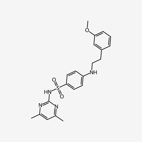 COc1cccc(CCNc2ccc(S(=O)(=O)Nc3nc(C)cc(C)n3)cc2)c1